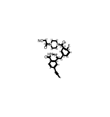 CC#Cc1ccc2c(=O)[nH]nc(Cc3ccc(F)c(C(=O)N4CCN(C(=O)CC#N)CC4)c3)c2c1